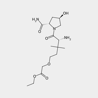 CCOC(=O)COCCC(C)(C)[C@@H](N)C(=O)N1C[C@H](O)C[C@H]1C(N)=O